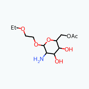 CCOCCOC1OC(COC(C)=O)C(O)C(O)C1N